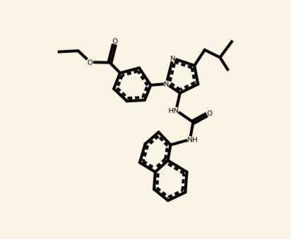 CCOC(=O)c1cccc(-n2nc(CC(C)C)cc2NC(=O)Nc2cccc3ccccc23)c1